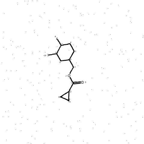 O=C(OCC1CCC(I)C(I)C1)C1CC1